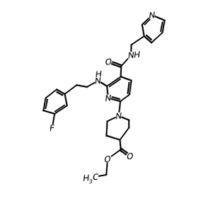 CCOC(=O)C1CCN(c2ccc(C(=O)NCc3cccnc3)c(NCCc3cccc(F)c3)n2)CC1